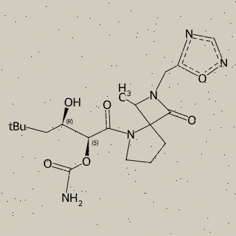 CC1N(Cc2ncno2)C(=O)C12CCCN2C(=O)[C@@H](OC(N)=O)[C@H](O)CC(C)(C)C